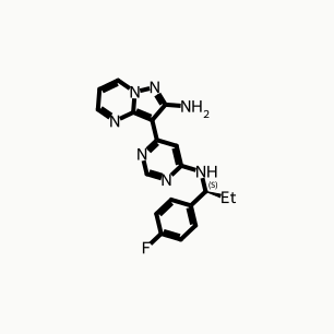 CC[C@H](Nc1cc(-c2c(N)nn3cccnc23)ncn1)c1ccc(F)cc1